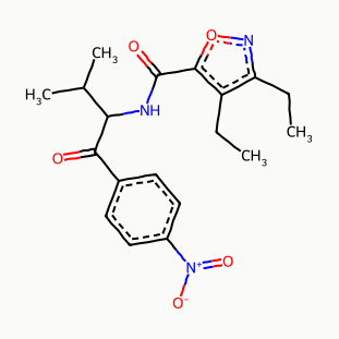 CCc1noc(C(=O)NC(C(=O)c2ccc([N+](=O)[O-])cc2)C(C)C)c1CC